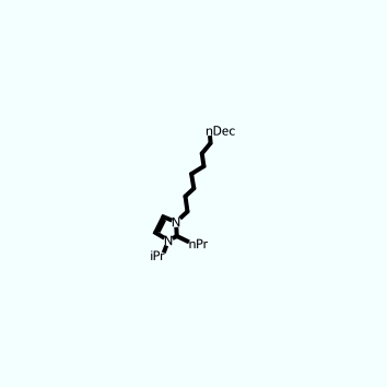 CCCCCCCCCCCCCCCCCN1C=CN(C(C)C)C1CCC